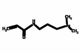 C=CC(=O)NCCC[As](C)C